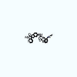 CC(C)(C)C(=O)N(CC(=O)Nc1ccc2c(c1)CC1(C2)C(=O)Nc2ncccc21)Cc1ccccc1/C=N/CF